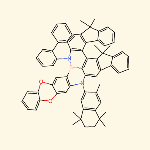 Cc1cc2c(cc1N1c3cc4c(cc3B3c5c1cc1c(c5-c5c(ccc6c5-c5ccccc5C6(C)C)N3c3ccccc3-c3ccccc3)C(C)(C)c3ccccc3-1)Oc1ccccc1O4)C(C)(C)CCC2(C)C